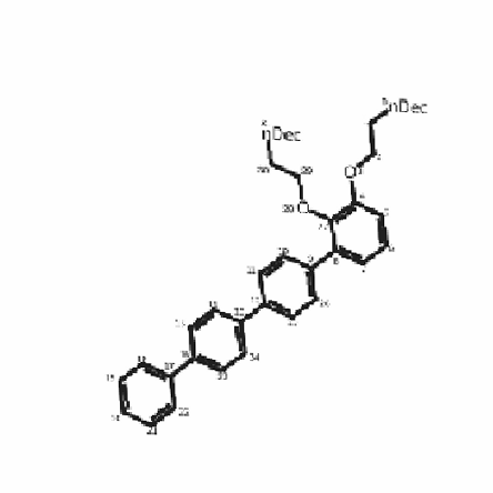 CCCCCCCCCCCCOc1cccc(-c2ccc(-c3ccc(-c4ccccc4)cc3)cc2)c1OCCCCCCCCCCCC